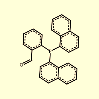 O=[C]c1ccccc1P(c1cccc2ccccc12)c1cccc2ccccc12